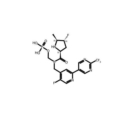 C[C@@H]1N[C@H](C(=O)N(COP(=O)(O)O)Cc2cc(-c3cnc(C(F)(F)F)nc3)ncc2F)C[C@H]1F